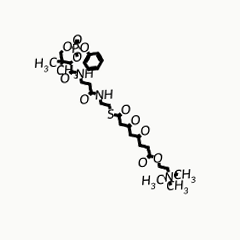 CC1(C)COP(=O)(Oc2ccccc2)O[C@H]1C(=O)NCCC(=O)NCCSC(=O)CC(=O)CC(=O)CCC(=O)OCC[N+](C)(C)C